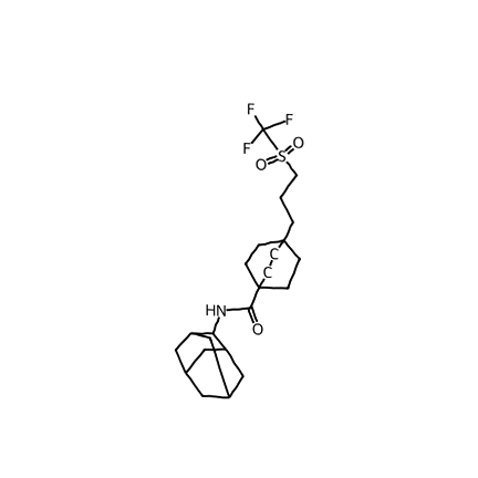 O=C(NC1C2CC3CC(C2)CC1C3)C12CCC(CCCS(=O)(=O)C(F)(F)F)(CC1)CC2